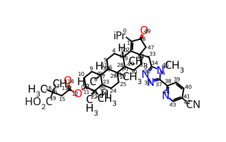 CC(C)C1=C2[C@H]3CC[C@@H]4[C@@]5(C)CC[C@H](OC(=O)CC(C)(C)C(=O)O)C(C)(C)[C@@H]5CC[C@@]4(C)[C@]3(C)CC[C@@]2(Cc2nnc(-c3ccc(C#N)cn3)n2C)CC1=O